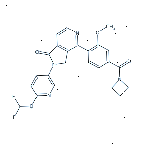 COc1cc(C(=O)N2CCC2)ccc1-c1nccc2c1CN(c1ccc(OC(F)F)nc1)C2=O